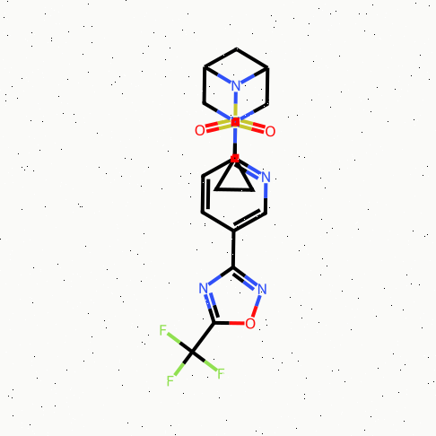 O=S(=O)(C1CC1)N1C2CC1CN(c1ccc(-c3noc(C(F)(F)F)n3)cn1)C2